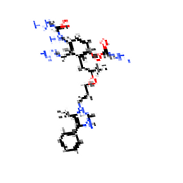 CCc1c(-c2ccccc2)ncn1CCCOC(CC)Cc1c(OC(N)=O)ccc(NC(N)=O)c1CN